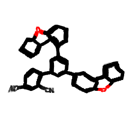 N#Cc1ccc(-c2cc(-c3ccc4oc5ccccc5c4c3)cc(-c3cccc4oc5ccccc5c34)c2)c(C#N)c1